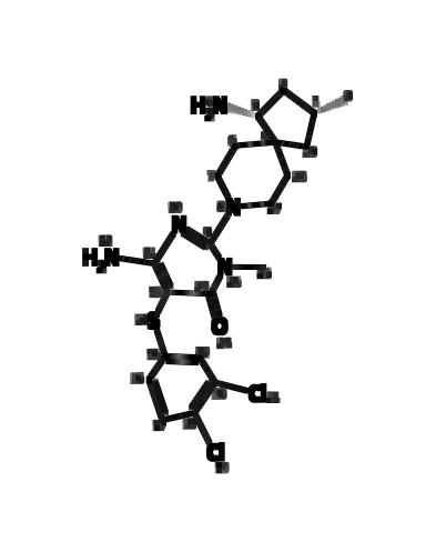 C[C@H]1C[C@@H](N)C2(CCN(c3nc(N)c(Sc4ccc(Cl)c(Cl)c4)c(=O)n3C)CC2)C1